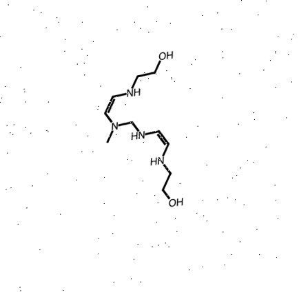 CN(/C=C\NCCO)CN/C=C\NCCO